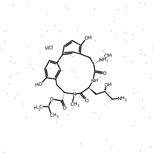 CC(C)OC(=O)[C@@H]1Cc2cc(ccc2O)-c2ccc(O)c(c2)C[C@H](N)C(=O)N[C@@H](C[C@@H](O)CN)C(=O)N1C.Cl.Cl